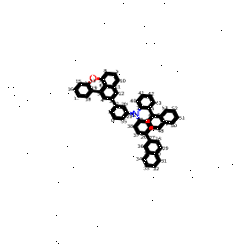 c1cc(-c2cc3c4c(cccc4c2)Oc2ccccc2-3)cc(N(c2ccc(-c3ccc4ccccc4c3)cc2)c2ccccc2-c2cccc3ccccc23)c1